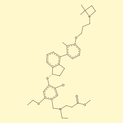 CCOc1cc(O[C@H]2CCc3c(-c4cccc(OCCCN5CCC5(C)C)c4C)cccc32)c(Cl)cc1CN(CC)CCC(=O)OC